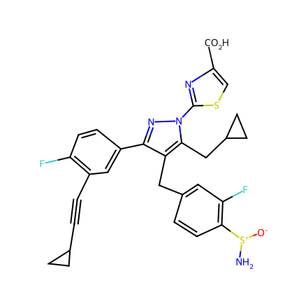 N[S+]([O-])c1ccc(Cc2c(-c3ccc(F)c(C#CC4CC4)c3)nn(-c3nc(C(=O)O)cs3)c2CC2CC2)cc1F